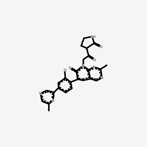 Cc1cncc(-c2ccc(-c3cc4cnc(C)nc4n(CC(=O)C4CCNC4=O)c3=O)c(Cl)c2)n1